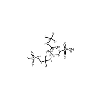 CC(C)(COS(C)(=O)=O)C[C@@H](CCS(=O)(=O)O)NC(=O)OC(C)(C)C